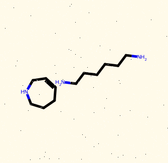 C1=CCNCCC1.NCCCCCCN